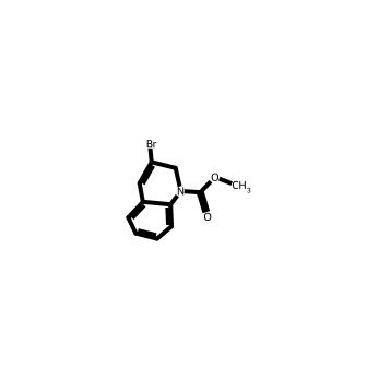 COC(=O)N1CC(Br)=Cc2ccccc21